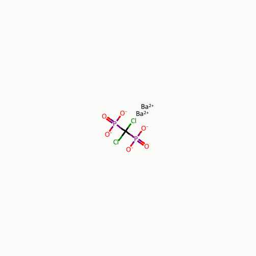 O=P([O-])([O-])C(Cl)(Cl)P(=O)([O-])[O-].[Ba+2].[Ba+2]